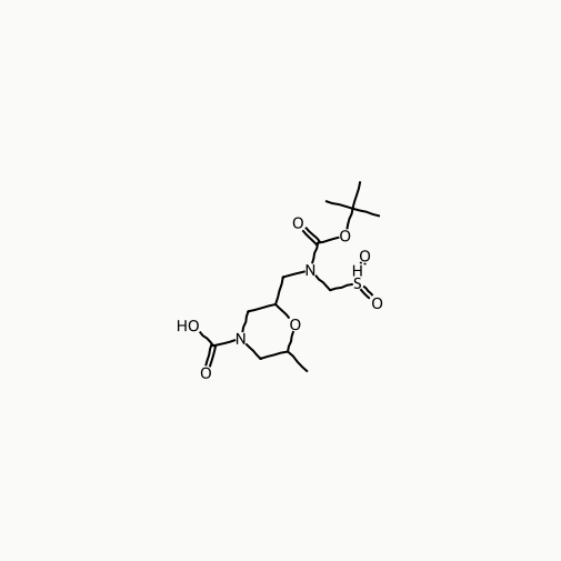 CC1CN(C(=O)O)CC(CN(C[SH](=O)=O)C(=O)OC(C)(C)C)O1